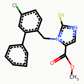 COC(=O)c1cnc(S)n1Cc1ccc(Cl)cc1-c1ccccc1